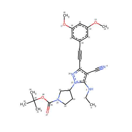 CCNc1c(C#N)c(C#Cc2cc(OC)cc(OC)c2)nn1C1CCN(C(=O)OC(C)(C)C)C1